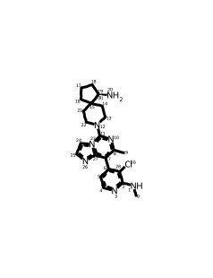 CNc1nccc(-c2c(C)nc(N3CCC4(CCC[C@H]4N)CC3)n3ccnc23)c1Cl